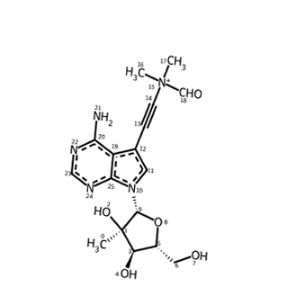 C[C@@]1(O)[C@H](O)[C@@H](CO)O[C@H]1n1cc(C#C[N+](C)(C)C=O)c2c(N)ncnc21